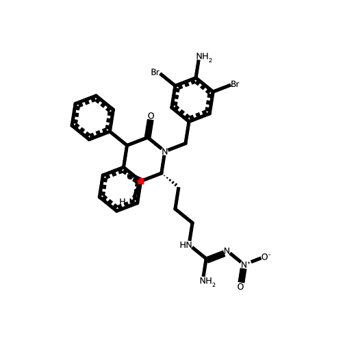 NC(=O)[C@@H](CCCNC(N)=N[N+](=O)[O-])N(Cc1cc(Br)c(N)c(Br)c1)C(=O)C(c1ccccc1)c1ccccc1